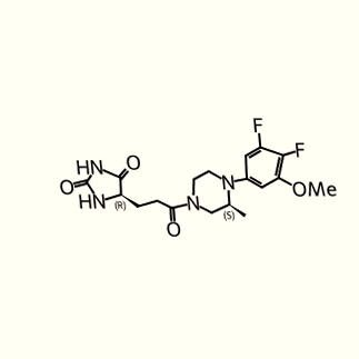 COc1cc(N2CCN(C(=O)CC[C@H]3NC(=O)NC3=O)C[C@@H]2C)cc(F)c1F